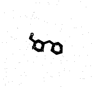 O=Cc1cc(Cc2ccccc2)ncn1